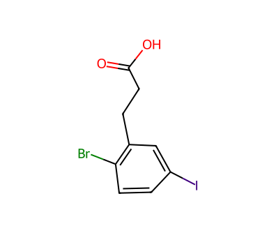 O=C(O)CCc1cc(I)ccc1Br